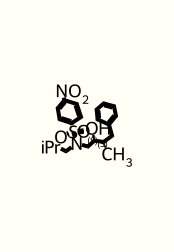 CC(C)CN(C[C@@H](O)[C@@H](C)Cc1ccccc1)S(=O)(=O)c1ccc([N+](=O)[O-])cc1